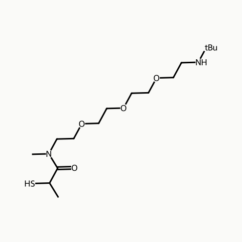 CC(S)C(=O)N(C)CCOCCOCCOCCNC(C)(C)C